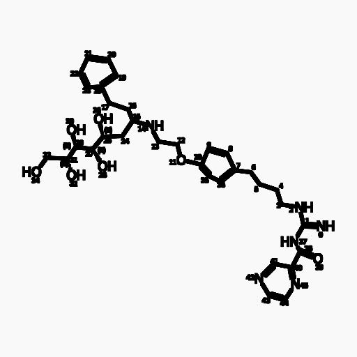 N=C(NCCCCc1ccc(OCCNC(CCc2ccccc2)C[C@H](O)[C@@H](O)[C@H](O)[C@H](O)CO)cc1)NC(=O)c1cnccn1